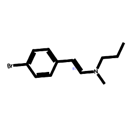 CCCN(C)/C=C/c1ccc(Br)cc1